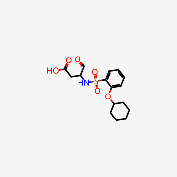 O=CC(CC(=O)O)NS(=O)(=O)c1ccccc1OC1CCCCC1